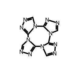 c1nnc2n1c1nncn1c1nncn1c1nncn21